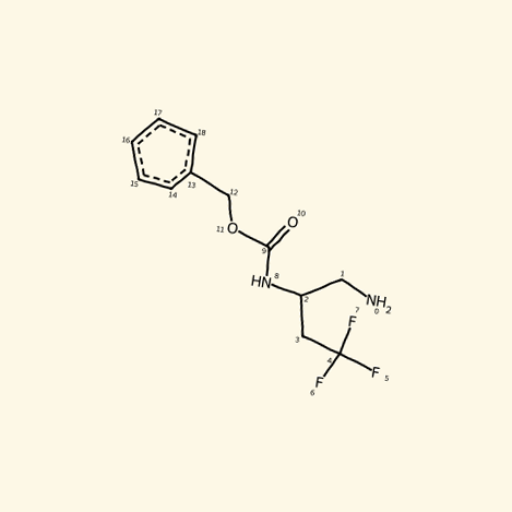 NCC(CC(F)(F)F)NC(=O)OCc1ccccc1